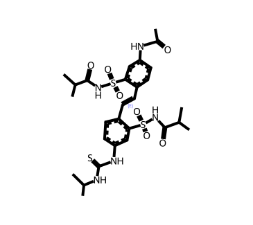 CC(=O)Nc1ccc(/C=C/c2ccc(NC(=S)NC(C)C)cc2S(=O)(=O)NC(=O)C(C)C)c(S(=O)(=O)NC(=O)C(C)C)c1